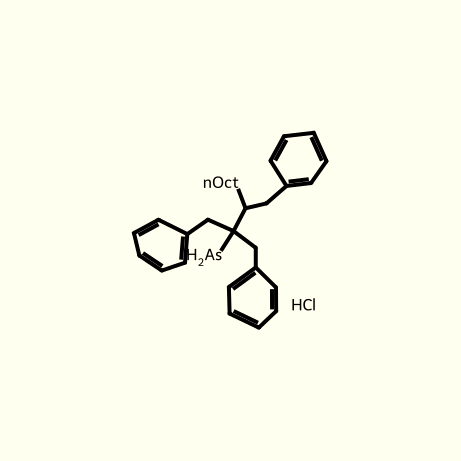 CCCCCCCCC(Cc1ccccc1)C([AsH2])(Cc1ccccc1)Cc1ccccc1.Cl